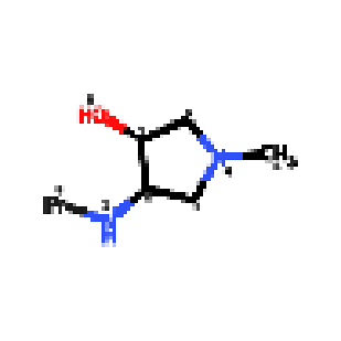 CC(C)N[C@@H]1CN(C)C[C@@H]1O